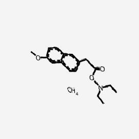 C.CCN(CC)OC(=O)Cc1ccc2cc(OC)ccc2c1